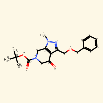 Cn1nc(COCc2ccccc2)c2c1CN(C(=O)OC(C)(C)C)CC2=O